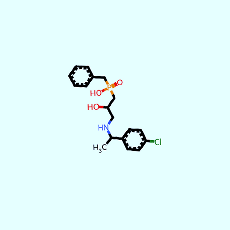 CC(NCC(O)CP(=O)(O)Cc1ccccc1)c1ccc(Cl)cc1